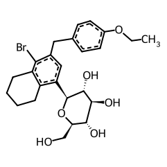 CCOc1ccc(Cc2cc([C@@H]3O[C@H](CO)[C@@H](O)[C@H](O)[C@H]3O)c3c(c2Br)CCCC3)cc1